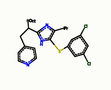 [CH2]CCCCCCCC(Cc1ccncc1)c1nc(C(C)C)c(Sc2cc(Cl)cc(Cl)c2)[nH]1